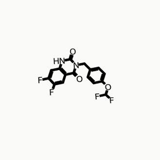 O=c1[nH]c2cc(F)c(F)cc2c(=O)n1Cc1ccc(OC(F)F)cc1